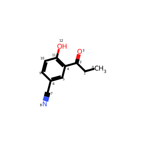 CCC(=O)c1cc(C#N)ccc1O